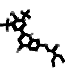 CCN(CC)C(=O)COc1ccc2c(=O)cc(-c3cc(C(C)(C)C)c(O)c(C(C)(C)C)c3)oc2c1